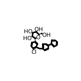 OC[C@H]1O[C@@H](c2ccc(Cl)c(Cc3ccc(-c4ccccc4)cc3)c2)[C@H](O)[C@@H](O)[C@@H]1O